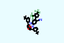 CC(C)(C)c1ccc2c(c1)c1ccccc1n2-c1cc(C#N)c(-c2ccc(C(F)(F)F)cc2C(F)(F)F)cc1-n1c2ccccc2c2cc(C(C)(C)C)ccc21